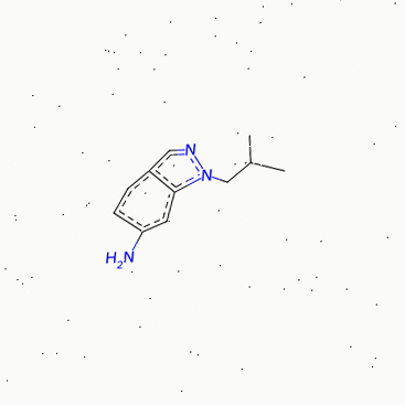 C[C](C)Cn1ncc2ccc(N)cc21